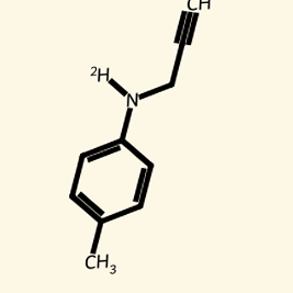 [2H]N(CC#C)c1ccc(C)cc1